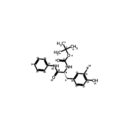 CC(C)(C)OC(=O)N[C@H](Cc1ccc(O)c(F)c1)C(=O)Nc1ccccc1